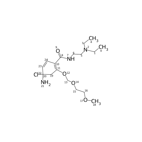 CCN(CC)CCNC(=O)C1=C(OCOCCOC)CC(N)(Cl)C=C1